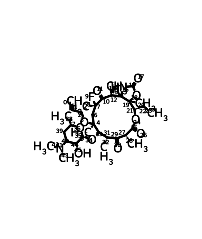 C=CCO[C@]1(C)C[C@](C)(F)C(=O)[C@@H](C)[C@H]2NC(=O)O[C@]2(C)[C@@H](CC)OC(=O)[C@H](C)C(=O)[C@H](C)[C@H]1O[C@@H]1O[C@H](C)C[C@H](N(C)C)[C@H]1O